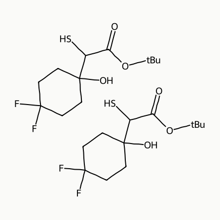 CC(C)(C)OC(=O)C(S)C1(O)CCC(F)(F)CC1.CC(C)(C)OC(=O)C(S)C1(O)CCC(F)(F)CC1